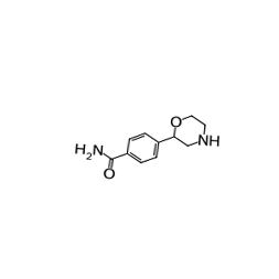 NC(=O)c1ccc(C2CNCCO2)cc1